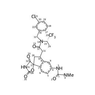 CNC(=O)Nc1ccc2c(c1)C(CC(=O)N(Cc1cccc(Cl)c1)[C@@H](C)C(F)(F)F)CC21OC(=O)NC1=O